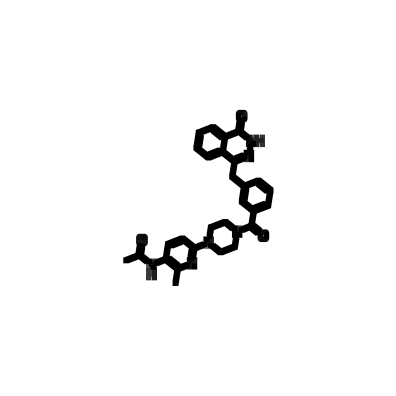 CC(=O)Nc1ccc(N2CCN(C(=O)c3cccc(Cc4n[nH]c(=O)c5ccccc45)c3)CC2)nc1C